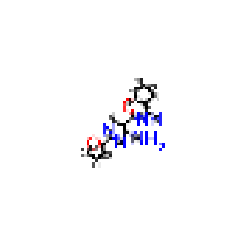 CC(NC(=O)c1cnc(-c2ccco2)nc1N)c1ccccc1